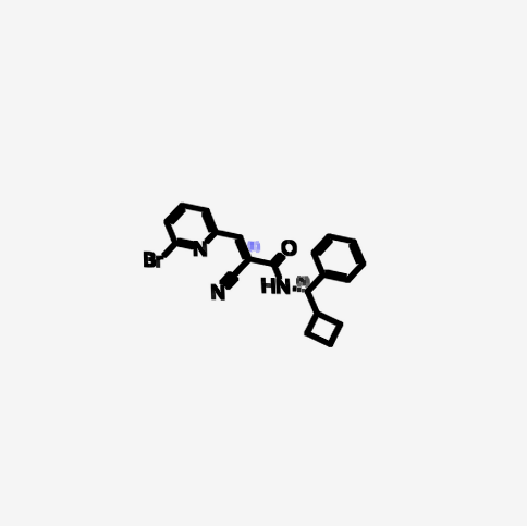 N#C/C(=C\c1cccc(Br)n1)C(=O)N[C@H](c1ccccc1)C1CCC1